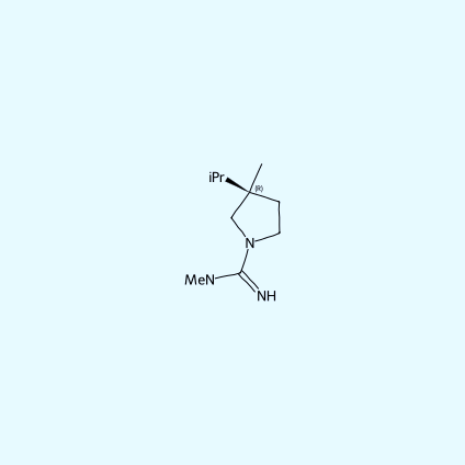 CNC(=N)N1CC[C@](C)(C(C)C)C1